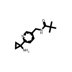 CC(C)(C)C(=O)NCc1ccc(C2(N)CC2)nc1